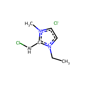 CCn1ccn(C)[c+]1[AlH][Cl].[Cl-]